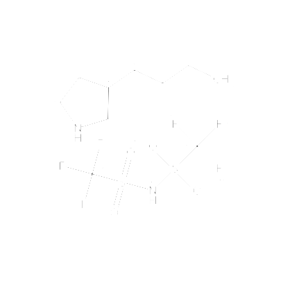 CCCCC1CCNC1.O=S(=O)(NS(=O)(=O)C(F)(F)F)C(F)(F)F